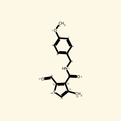 COc1ccc(CNC(=O)c2c(C)csc2C=O)cc1